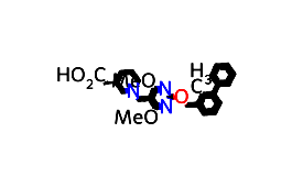 COc1nc(OCc2cccc(-c3ccccc3)c2C)nc(OC)c1CN1CCC[C@H](CC(=O)O)C1